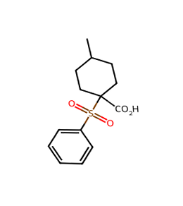 CC1CCC(C(=O)O)(S(=O)(=O)c2ccccc2)CC1